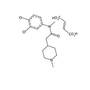 CN1CCC(CC(=O)N(C)c2ccc(Cl)c(Cl)c2)CC1.O=C(O)/C=C/C(=O)O